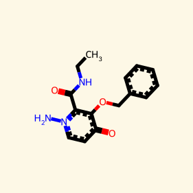 CCNC(=O)c1c(OCc2ccccc2)c(=O)ccn1N